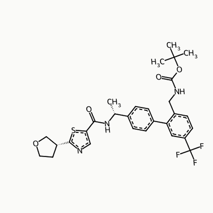 C[C@@H](NC(=O)c1cnc([C@@H]2CCOC2)s1)c1ccc(-c2cc(C(F)(F)F)ccc2CNC(=O)OC(C)(C)C)cc1